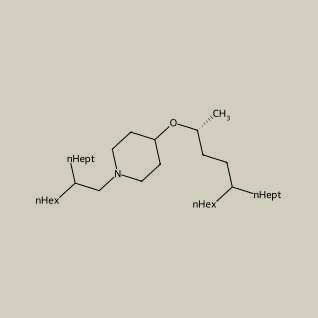 CCCCCCCC(CCCCCC)CC[C@@H](C)OC1CCN(CC(CCCCCC)CCCCCCC)CC1